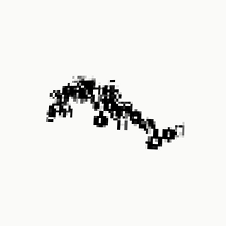 [2H]C1([2H])N(CC[C@H](CSc2ccccc2)Nc2ccc(S(=O)(=O)NC(=O)c3ccc(N4CCN(CC5=C(c6ccc(Cl)cc6)CCC(C)(C)C5)CC4)cc3)cc2S(=O)(=O)C(F)(F)F)C([2H])([2H])C([2H])([2H])N(Cc2ccc3c(c2F)CN(C2CCC(=O)NC2=O)C3=O)C1([2H])[2H]